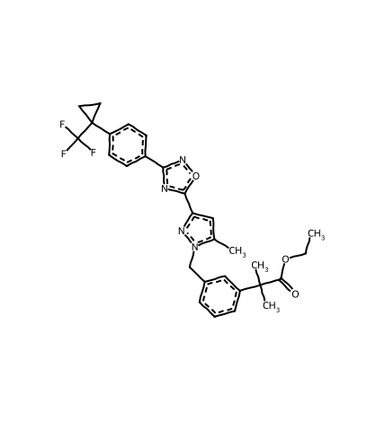 CCOC(=O)C(C)(C)c1cccc(Cn2nc(-c3nc(-c4ccc(C5(C(F)(F)F)CC5)cc4)no3)cc2C)c1